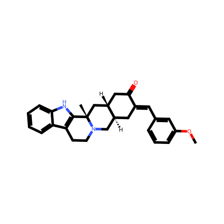 COc1cccc(/C=C2\C[C@H]3CN4CCc5c([nH]c6ccccc56)[C@]4(C)C[C@@H]3CC2=O)c1